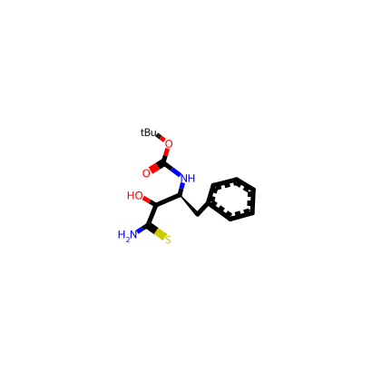 CC(C)(C)OC(=O)N[C@@H](Cc1ccccc1)C(O)C(N)=S